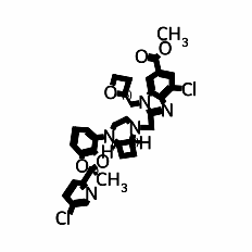 COC(=O)c1cc(Cl)c2nc(CN3CCN(c4cccc5c4O[C@](C)(c4ccc(Cl)cn4)O5)[C@@H]4CC[C@H]43)n(C[C@@H]3CCO3)c2c1